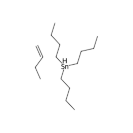 C=CCC.CCC[CH2][SnH]([CH2]CCC)[CH2]CCC